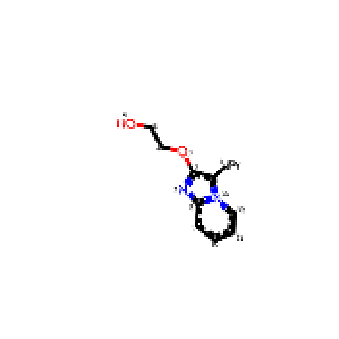 CC(C)c1c(OCCO)nc2ccccn12